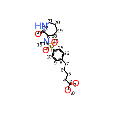 COC(=O)CCCCc1ccc(S(=O)(=O)N(C)C2CCCCNC2=O)cc1